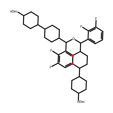 CCCCCCCCCCC1CCC(C2CCC(C(OC(c3cccc(F)c3F)C3CCC(C4CCC(CCCCCCCCCC)CC4)CC3)c3cccc(F)c3F)CC2)CC1